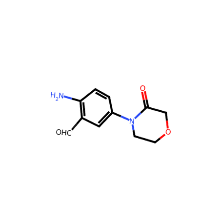 Nc1ccc(N2CCOCC2=O)cc1C=O